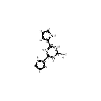 CCc1nc(-c2cccs2)nc(-c2cccs2)n1